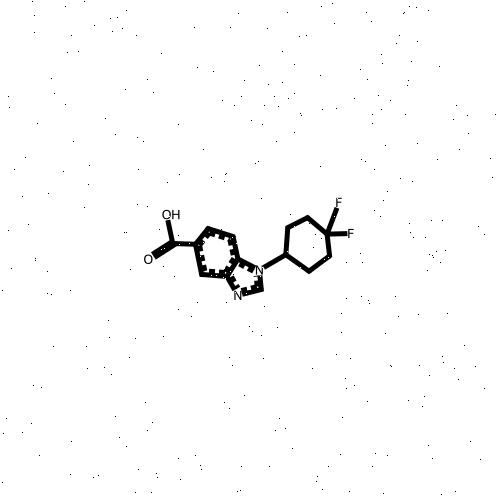 O=C(O)c1ccc2c(c1)ncn2C1CCC(F)(F)CC1